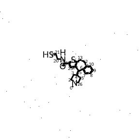 CN1CCC(=C2c3ccccc3CCc3sc(C(=O)NCCS)cc32)CC1